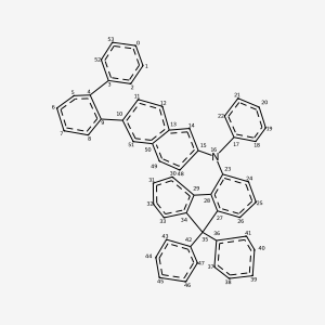 c1ccc(-c2ccccc2-c2ccc3cc(N(c4ccccc4)c4cccc5c4-c4ccccc4C5(c4ccccc4)c4ccccc4)ccc3c2)cc1